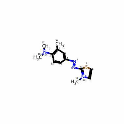 Cc1cc(N=Nc2scc[n+]2C)ccc1N(C)C